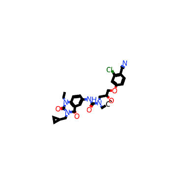 CCn1c(=O)n(CC2CC2)c(=O)c2cc(NC(=O)N3CCOC(COc4ccc(C#N)c(Cl)c4)C3)ccc21